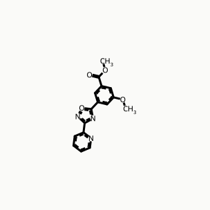 COC(=O)c1cc(OC)cc(-c2nc(-c3ccccn3)no2)c1